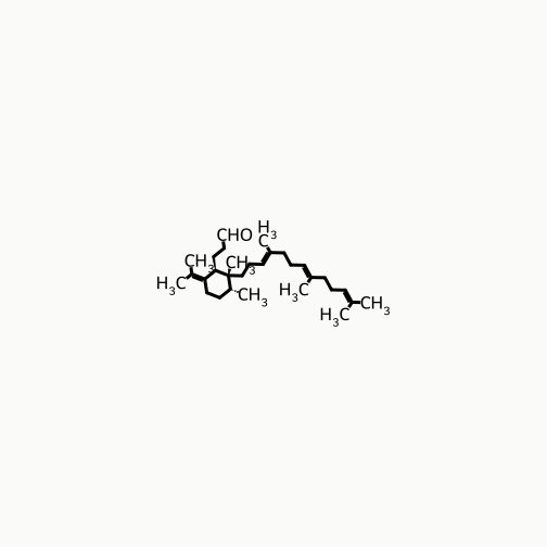 CC(C)=CCC/C(C)=C/CC/C(C)=C/CC[C@]1(C)[C@H](C)CCC(=C(C)C)[C@H]1CCC=O